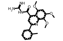 COc1cc(OC)c2c(C(=O)NC(=N)N)cc(-c3ccccc3C)nc2c1OC